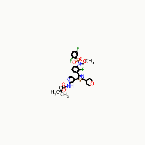 COCN(c1cccc(-c2nc(C3CCOCC3)sc2-c2ccnc(NC(=O)OC(C)(C)C)c2)c1F)S(=O)(=O)c1cc(F)ccc1F